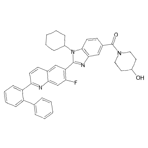 O=C(c1ccc2c(c1)nc(-c1cc3ccc(-c4ccccc4-c4ccccc4)nc3cc1F)n2C1CCCCC1)N1CCC(O)CC1